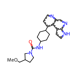 COCC1CCN(C(=O)NC2CCC(c3ccnc4cnc5[nH]ccc5c34)CC2)C1